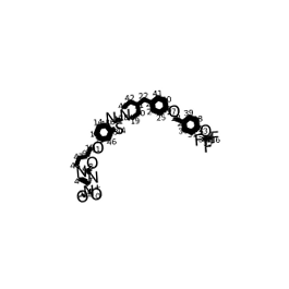 O=[N+]([O-])c1cn2c(n1)OC(COc1ccc3nc(N4CCC(Cc5ccc(OCc6ccc(OC(F)(F)F)cc6)cc5)CC4)sc3c1)CC2